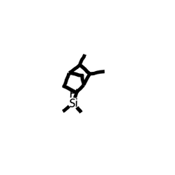 CC1C2CC(C1C)C([SiH](C)C)C2